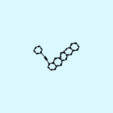 C(#Cc1cccc2cc3cc4cc5ccccc5cc4cc3cc12)c1ccccc1